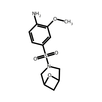 COc1cc(S(=O)(=O)N2CC3CC(C2)O3)ccc1N